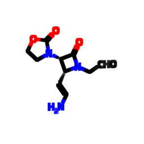 N/C=C/[C@@H]1[C@H](N2CCOC2=O)C(=O)N1CC=O